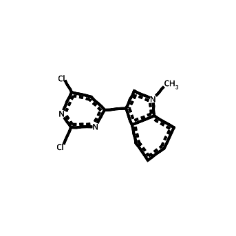 Cn1cc(-c2cc(Cl)nc(Cl)n2)c2ccccc21